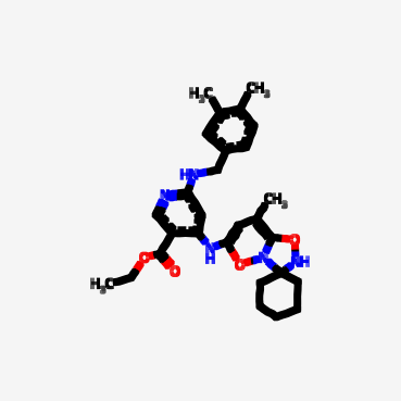 CCOC(=O)c1cnc(NCc2ccc(C)c(C)c2)cc1NC1=CC(C)=C2ONC3(CCCCC3)N2O1